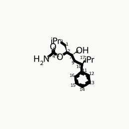 CC(C)C[C@H](OC(N)=O)[C@H](O)C[C@H](c1ccccc1)C(C)C